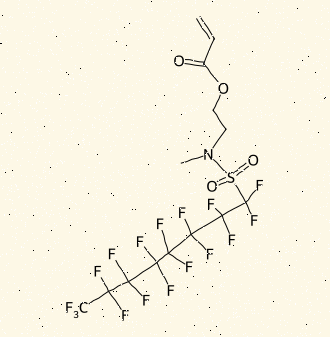 C=CC(=O)OCCN(C)S(=O)(=O)C(F)(F)C(F)(F)C(F)(F)C(F)(F)C(F)(F)C(F)(F)C(F)(F)C(F)(F)F